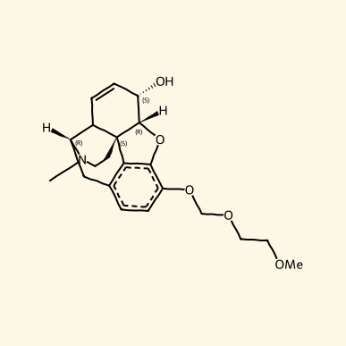 COCCOCOc1ccc2c3c1O[C@H]1[C@@H](O)C=CC4[C@@H](C2)N(C)CC[C@@]341